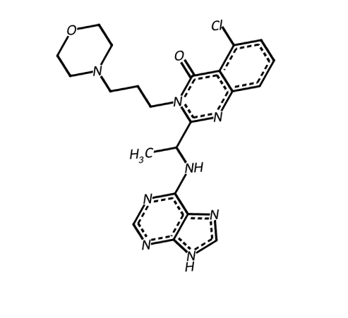 CC(Nc1ncnc2[nH]cnc12)c1nc2cccc(Cl)c2c(=O)n1CCCN1CCOCC1